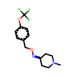 CN1CCC(=NOCc2ccc(OC(F)(F)F)cc2)CC1